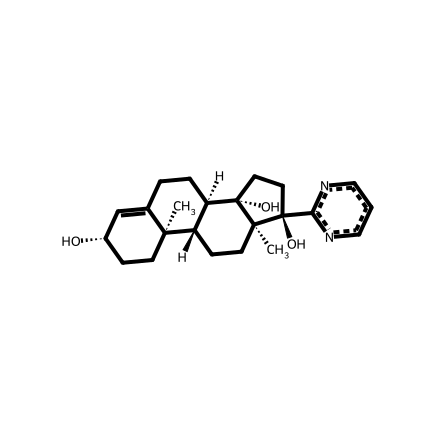 C[C@]12CC[C@H]3[C@@H](CCC4=C[C@@H](O)CC[C@@]43C)[C@@]1(O)CC[C@]2(O)c1ncccn1